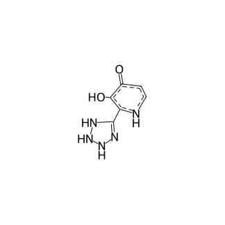 O=c1cc[nH]c(C2=NNNN2)c1O